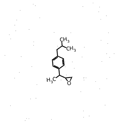 CC(C)Cc1ccc(C(C)C2CO2)cc1